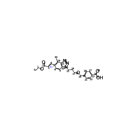 CCOC(=O)/C=C/c1ccc2c(nnn2CCCOCc2ccc(C(=O)O)cc2)c1C